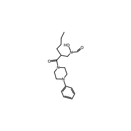 CCCCC(CN(O)C=O)C(=O)N1CCN(c2ccccc2)CC1